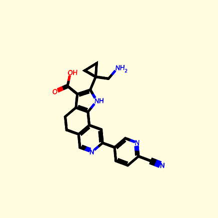 N#Cc1ccc(-c2cc3c(cn2)CCc2c-3[nH]c(C3(CN)CC3)c2C(=O)O)cn1